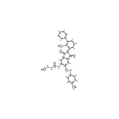 Cc1c(-c2ccccc2)cccc1N1C(=O)c2cc(CNCCO)c(OCc3ccc(C#N)cc3)cc2C1=O